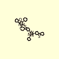 c1ccc(-c2nc(-c3ccc4c(c3)sc3ccccc34)nc(-c3ccc4sc5c(-c6nc(-c7ccccc7)c7oc8ccccc8c7n6)cccc5c4c3)n2)cc1